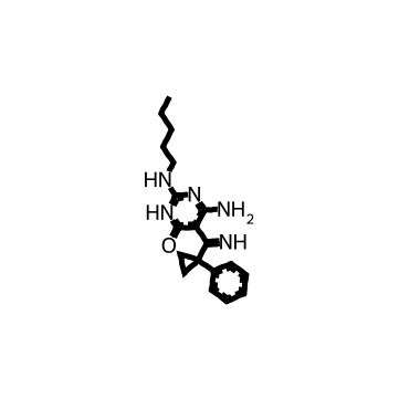 CCCCCNc1nc(N)c(C(=N)C2(c3ccccc3)CC2)c(=O)[nH]1